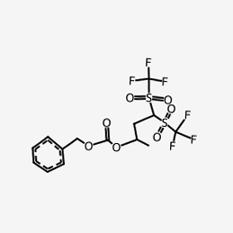 CC(CC(S(=O)(=O)C(F)(F)F)S(=O)(=O)C(F)(F)F)OC(=O)OCc1ccccc1